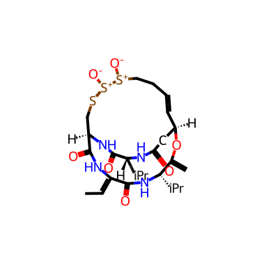 C=C1O[C@@H]2/C=C/CC[S+]([O-])[S+]([O-])SC[C@@H](NC(=O)[C@@H](C(C)C)NC(=O)C2)C(=O)N/C(=C\C)C(=O)N[C@H]1C(C)C